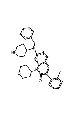 Cc1ccccc1-c1cc2cnc(N(Cc3ccccc3)C3CCNCC3)nc2n(C2CCOCC2)c1=O